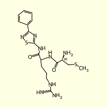 CSC[C@H](N)C(=O)NC(CCCNC(=N)N)C(=O)Nc1nc(-c2ccccc2)ns1